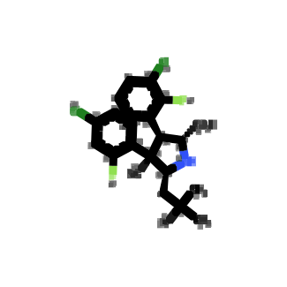 CC(C)C(C)(C)C[C@@H]1N[C@@H](C(=O)O)[C@H](c2cccc(Cl)c2F)[C@@]1(C#N)c1ccc(Cl)cc1F